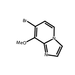 COc1c(Br)ccn2ccnc12